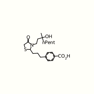 CCCCCC(C)(O)CCN1C(=O)CSC1CCCc1ccc(C(=O)O)cc1